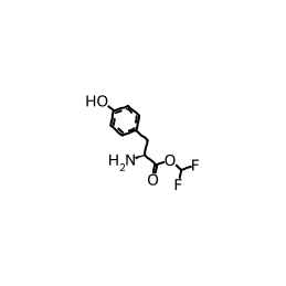 N[C@@H](Cc1ccc(O)cc1)C(=O)OC(F)F